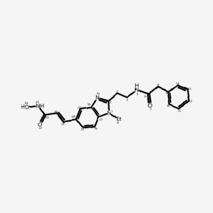 CCn1c(CCNC(=O)Cc2ccccc2)nc2cc(C=CC(=O)NO)ccc21